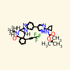 [2H]C([2H])([2H])N1C(=O)c2cccc(C#CC(F)(F)F)c2[C@H]2C[C@@H]1c1nc3ccc(-c4cnc(C5(NC(=O)OC(C)(C)C)CCC5)nc4)cc3n12